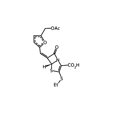 CCSC1=C(C(=O)O)N2C(=O)C(=Cc3ccc(COC(C)=O)o3)[C@H]2S1